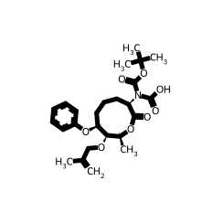 C=C(C)CO[C@H]1[C@H](C)OC(=O)[C@@H](N(C(=O)O)C(=O)OC(C)(C)C)CCC[C@@H]1Oc1ccccc1